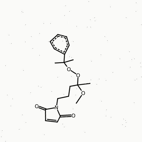 COC(C)(CCCN1C(=O)C=CC1=O)OOC(C)(C)c1ccccc1